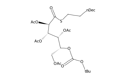 CCCCCCCCCCCCSC(=O)[C@H](OC(C)=O)[C@@H](OC(C)=O)[C@H](OC(C)=O)[C@@H](COC(C)=O)OC(=O)OC(C)(C)C